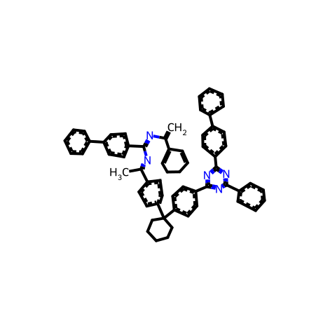 C=C(/N=C(\N=C(/C)c1ccc(C2(c3ccc(-c4nc(-c5ccccc5)nc(-c5ccc(-c6ccccc6)cc5)n4)cc3)CCCCC2)cc1)c1ccc(-c2ccccc2)cc1)C1=CCCC=C1